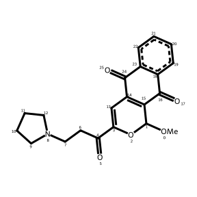 COC1OC(C(=O)CCN2CCCC2)=CC2=C1C(=O)c1ccccc1C2=O